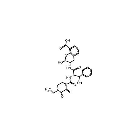 CCN1CCN(C(=O)N[C@H](C(=O)N[C@H]2Cc3cccc(C(=O)O)c3OB2O)C(O)c2ccccc2)C(=O)C1=O